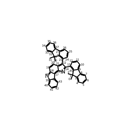 CC1(C)c2ccccc2-c2cccc(C3=Nc4c5c(ccc4=C3c3cccc4c3C(C)(C)c3ccccc3-4)=Nc3ccccc3-5)c21